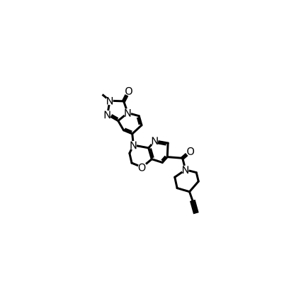 C#CC1CCN(C(=O)c2cnc3c(c2)OCCN3c2ccn3c(=O)n(C)nc3c2)CC1